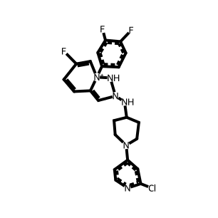 FC1=C[N+]2(c3ccc(F)c(F)c3)NN(NC3CCN(c4ccnc(Cl)c4)CC3)C=C2C=C1